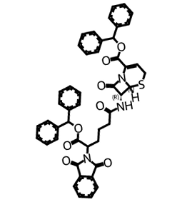 O=C(CCCC(C(=O)OC(c1ccccc1)c1ccccc1)N1C(=O)c2ccccc2C1=O)N[C@@H]1C(=O)N2C(C(=O)OC(c3ccccc3)c3ccccc3)=CCS[C@H]12